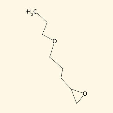 [CH2]CCOCCCC1CO1